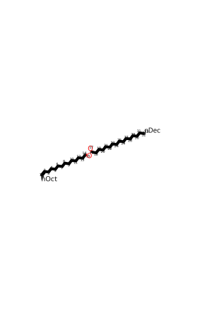 CCCCCCCC/C=C\CCCCCCCCCCCCOC(=O)CCCCCCCCCCCCCCCCCCCCCCCCC